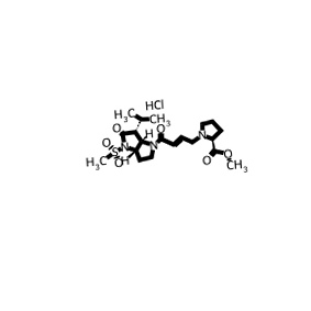 COC(=O)[C@@H]1CCCN1C/C=C/C(=O)N1CC[C@H]2[C@H]1[C@@H](C(C)C)C(=O)N2S(C)(=O)=O.Cl